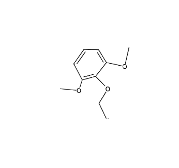 [CH2]COc1c(OC)cccc1OC